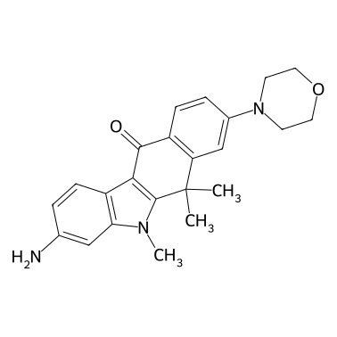 Cn1c2c(c3ccc(N)cc31)C(=O)c1ccc(N3CCOCC3)cc1C2(C)C